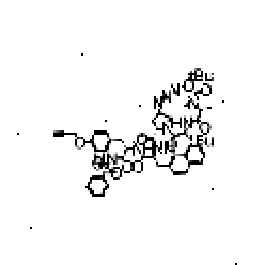 C#CCOc1ccc(C[C@H](NC(=O)[C@H](Cc2ccc3ccccc3c2)NC(=O)[C@@H]2C[C@H](N=[N+]=[N-])CN2C(=O)[C@@H](NC(=O)[C@H](C)N(C)C(=O)OC(C)(C)C)C(C)(C)C)C(=O)NS(=O)(=O)c2ccccc2)cc1